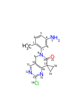 Cc1ccc(N)cc1N1Cc2cnc(Cl)nc2C2(CC2)C1=O